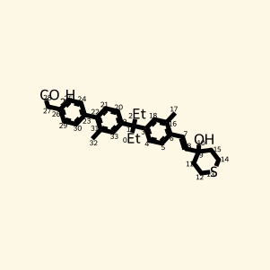 CCC(CC)(c1ccc(C=CC2(O)CCSCC2)c(C)c1)c1ccc(-c2ccc(CC(=O)O)cc2)c(C)c1